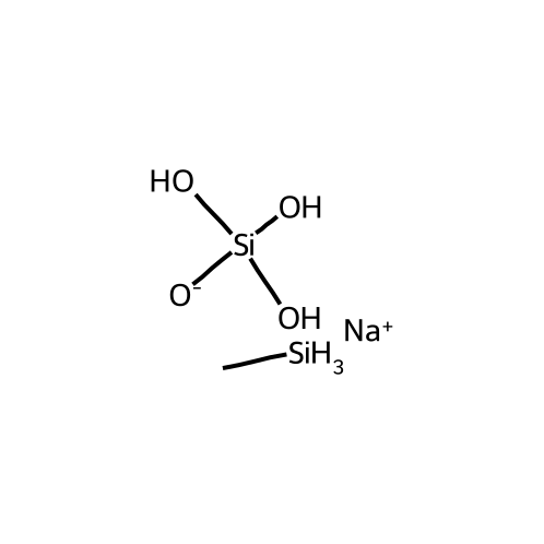 C[SiH3].[Na+].[O-][Si](O)(O)O